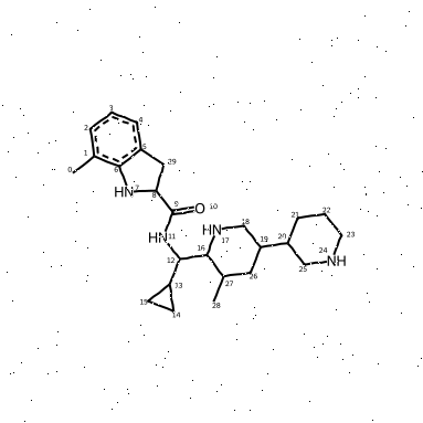 Cc1cccc2c1NC(C(=O)NC(C1CC1)C1NCC(C3CCCNC3)CC1C)C2